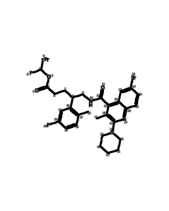 CCCC(F)OC(=O)CCC(CNC(=O)c1c(C)c(N2CCCCC2)nc2ccc(Br)cc12)c1cc(F)ccc1C